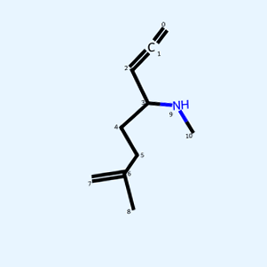 C=C=CC(CCC(=C)C)NC